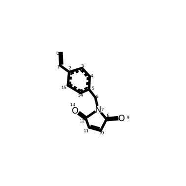 C=Cc1ccc(CN2C(=O)C=CC2=O)cc1